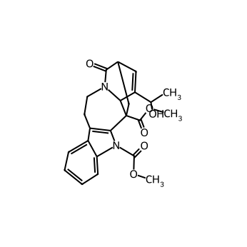 COC(=O)n1c2c(c3ccccc31)CCN1C(=O)C3C=C(C(C)O)C1C2(C(=O)OC)C3